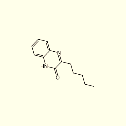 CCCCCc1nc2ccccc2[nH]c1=O